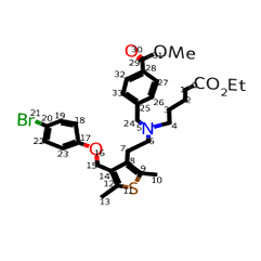 CCOC(=O)CCCCN(CCc1c(C)sc(C)c1COc1ccc(Br)cc1)Cc1ccc(C(=O)OC)cc1